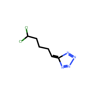 ClC(Cl)CCCC=C1N=NN=N1